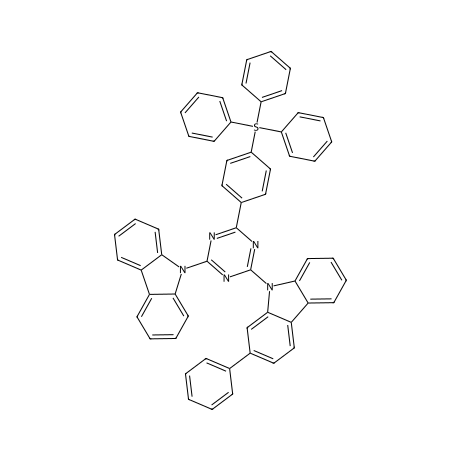 c1ccc(-c2ccc3c4ccccc4n(-c4nc(-c5ccc(S(c6ccccc6)(c6ccccc6)c6ccccc6)cc5)nc(-n5c6ccccc6c6ccccc65)n4)c3c2)cc1